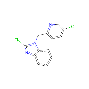 Clc1ccc(Cn2c(Cl)nc3ccccc32)nc1